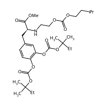 CCC(C)(C)OC(=O)Oc1ccc(C[C@H](NCCOC(=O)OCCC(C)C)C(=O)OC)cc1OC(=O)OC(C)(C)CC